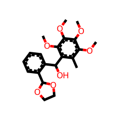 COc1c(C)c(C(O)c2ccccc2C2OCCO2)c(OC)c(OC)c1OC